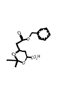 CC1(C)OC(CC(=O)OCc2ccccc2)CC(C(=O)O)O1